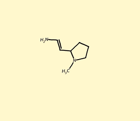 CN1CCCC1C=CN